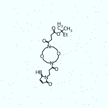 B=C1C=CC(=O)N1CCC(=O)N1CCOCCN(C(=O)CCC(=O)OC(C)(C)CC)CCOCC1